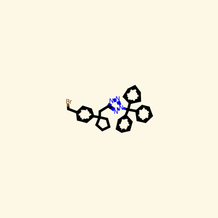 BrCc1ccc(C2(Cc3nnn(C(c4ccccc4)(c4ccccc4)c4ccccc4)n3)CCCC2)cc1